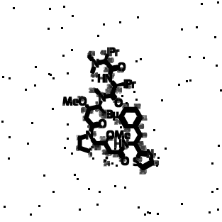 CC[C@H](C)[C@@H]([C@@H](CC(=O)N1CCC[C@H]1[C@H](OC)[C@@H](C)C(=O)NC(Cc1ccccc1)c1nccs1)OC)N(C)C(=O)[C@@H](NC(=O)[C@H](C(C)C)N(C)C)C(C)C